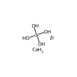 O[Si](O)(O)O.[CaH2].[Zr]